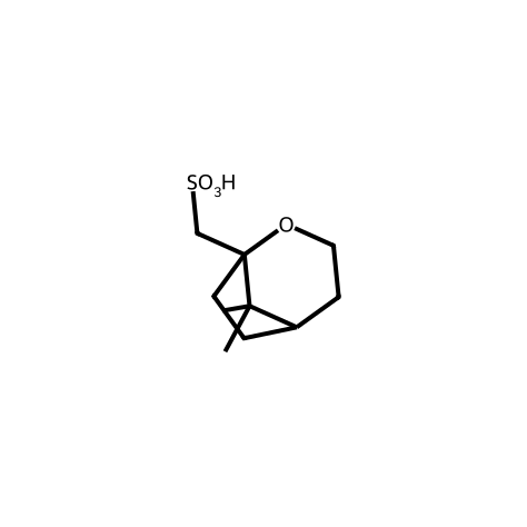 CC1(C)C2CCOC1(CS(=O)(=O)O)CC2